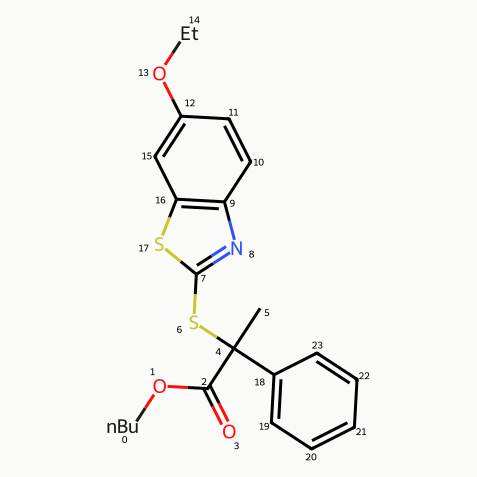 CCCCOC(=O)C(C)(Sc1nc2ccc(OCC)cc2s1)c1ccccc1